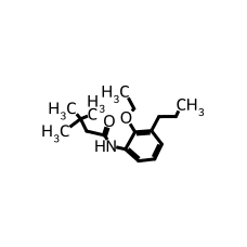 CCCc1cccc(NC(=O)CC(C)(C)C)c1OCC